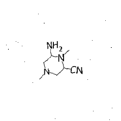 CN1CC(N)N(C)C(C#N)C1